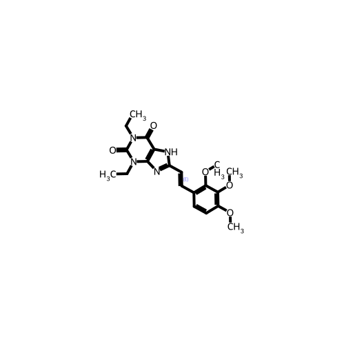 CCn1c(=O)c2[nH]c(/C=C/c3ccc(OC)c(OC)c3OC)nc2n(CC)c1=O